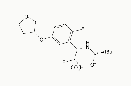 CC(C)(C)[S@@+]([O-])N[C@@H](c1cc(O[C@@H]2CCOC2)ccc1F)[C@@H](F)C(=O)O